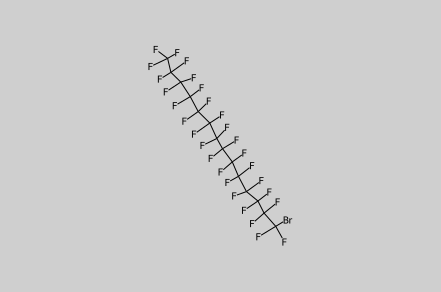 FC(F)(F)C(F)(F)C(F)(F)C(F)(F)C(F)(F)C(F)(F)C(F)(F)C(F)(F)C(F)(F)C(F)(F)C(F)(F)C(F)(F)C(F)(F)C(F)(F)Br